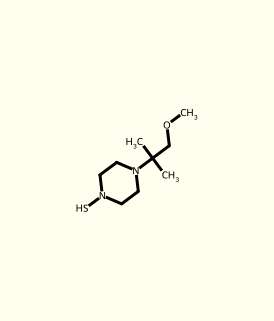 COCC(C)(C)N1CCN(S)CC1